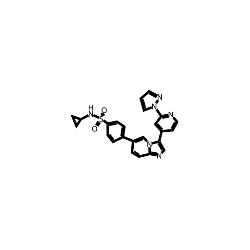 O=S(=O)(NC1CC1)c1ccc(-c2ccc3ncc(-c4ccnc(-n5cccn5)c4)n3c2)cc1